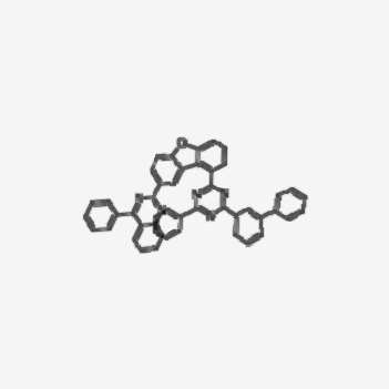 c1ccc(-c2cccc(-c3nc(-c4ccccc4)nc(-c4cccc5oc6ccc(-c7nc(-c8ccccc8)c8ccccc8n7)cc6c45)n3)c2)cc1